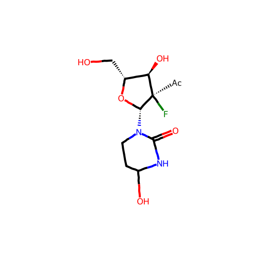 CC(=O)[C@@]1(F)[C@H](O)[C@@H](CO)O[C@H]1N1CCC(O)NC1=O